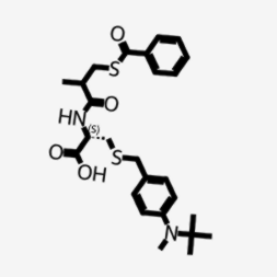 CC(CSC(=O)c1ccccc1)C(=O)N[C@H](CSCc1ccc(N(C)C(C)(C)C)cc1)C(=O)O